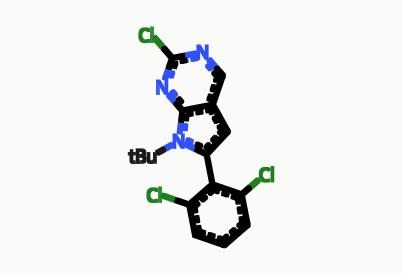 CC(C)(C)n1c(-c2c(Cl)cccc2Cl)cc2cnc(Cl)nc21